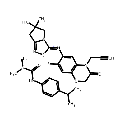 C#CCN1C(=O)COc2cc(F)c(/N=c3\snc4n3CC(C)(C)C4)cc21.CC(C)c1ccc(NC(=O)N(C)C)cc1